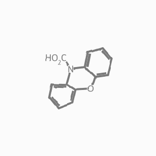 O=C(O)N1c2ccccc2Oc2ccccc21